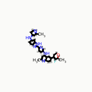 Cc1cc(Nc2ccc3nc(-c4ccc(Nc5cc(C)nc6ccc(C7=C(F)[C@@H](C)OCC7)cc56)cn4)[nH]c3c2)ccn1